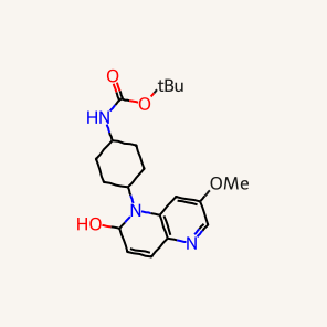 COc1cnc2c(c1)N(C1CCC(NC(=O)OC(C)(C)C)CC1)C(O)C=C2